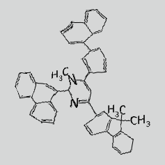 CN1C(c2cccc(-c3cccc4ccccc34)c2)=CC(c2ccc3c(c2)C(C)(C)C2=C3C=CCC2)=NC1c1cc2ccccc2c2ccccc12